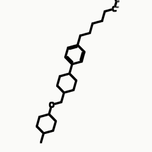 [CH2+][CH-]CCCCCc1ccc(C2CCC(COC3CCC(C)CC3)CC2)cc1